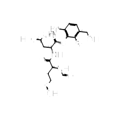 CSCCC(NC=O)C(=O)NC(CC(C)C)C(=O)Oc1c(Br)ccc(CO)c1Br